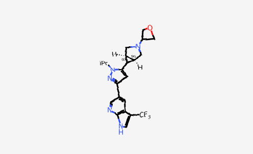 CC(C)n1nc(-c2cnc3[nH]cc(C(F)(F)F)c3c2)cc1C1[C@H]2CN(C3COC3)C[C@@H]12